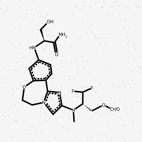 CN(c1cn2c(n1)-c1ccc(N[C@@H](CO)C(N)=O)cc1OCC2)[C@@H](COC=O)C(F)F